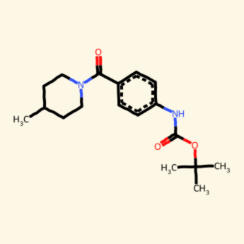 CC1CCN(C(=O)c2ccc(NC(=O)OC(C)(C)C)cc2)CC1